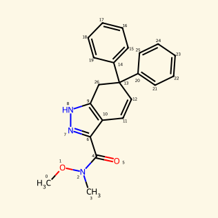 CON(C)C(=O)c1n[nH]c2c1C=CC(c1ccccc1)(c1ccccc1)C2